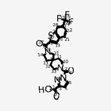 O=C(O)c1ccn(C(=O)N2CCC3(CCN(C(=O)c4cc5ccc(C(F)(F)F)cc5s4)C3)CC2)n1